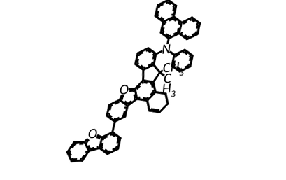 CC1(C)c2c(cccc2N(c2ccccc2)c2cc3ccccc3c3ccccc23)-c2c1c1c(c3c2oc2ccc(-c4cccc5c4oc4ccccc45)cc23)C=CCC1